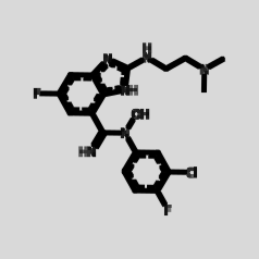 CN(C)CCNc1nc2cc(F)cc(C(=N)N(O)c3ccc(F)c(Cl)c3)c2[nH]1